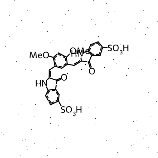 COc1cc(OC)c(C=C2Nc3ccc(S(=O)(=O)O)cc3C2=O)cc1C=C1Nc2ccc(S(=O)(=O)O)cc2C1=O